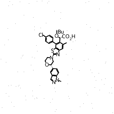 Cc1cc2nc(N3CCO[C@@H](c4ccc5c(cnn5C)c4)C3)sc2c(-c2ccc(Cl)cc2)c1[C@H](OC(C)(C)C)C(=O)O